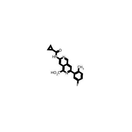 Cc1ccc(F)cc1-c1cc2cnc(NC(=O)C3CC3)cc2c(C(=O)O)n1